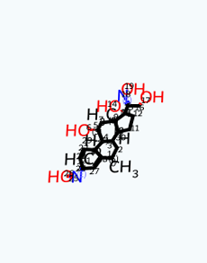 C[C@H]1CC2[C@H]([C@@H](O)C[C@@]3(C)[C@H]2CC[C@]3(O)/C(CO)=N/O)[C@@]2(C)C=C/C(=N\O)C=C12